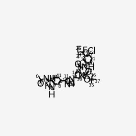 CC(=O)Nc1n[nH]c2cc(-c3cn(C4C[C@@H](C(=O)Nc5ccc(Cl)c(C(F)(F)F)c5)N(C(=O)OC(C)(C)C)C4)nn3)ccc12